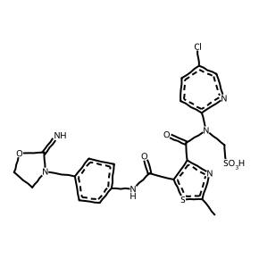 Cc1nc(C(=O)N(CS(=O)(=O)O)c2ccc(Cl)cn2)c(C(=O)Nc2ccc(N3CCOC3=N)cc2)s1